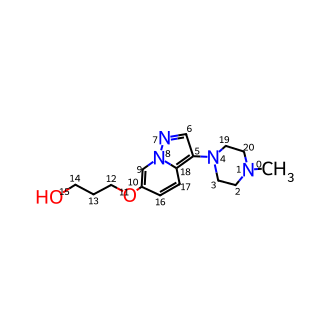 CN1CCN(c2cnn3cc(OCCCO)ccc23)CC1